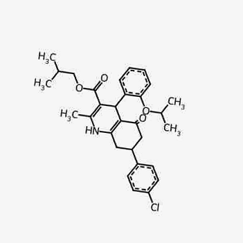 CC1=C(C(=O)OCC(C)C)C(c2ccccc2OC(C)C)C2=C(CC(c3ccc(Cl)cc3)CC2=O)N1